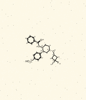 O=C(O)c1ccc([C@@H]2C[C@@H](OC3CC(F)(F)C3)CCN2OC(=O)c2ccccc2)cc1